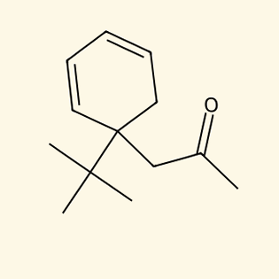 CC(=O)CC1(C(C)(C)C)C=CC=CC1